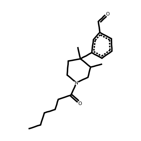 CCCCCC(=O)N1CCC(C)(c2cccc(C=O)c2)C(C)C1